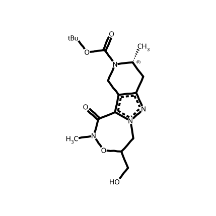 C[C@@H]1Cc2nn3c(c2CN1C(=O)OC(C)(C)C)C(=O)N(C)OC(CO)C3